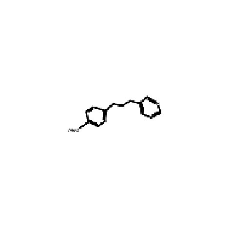 COc1ccc(CC[CH]c2cccnc2)cc1